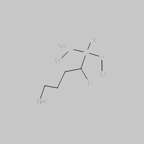 CCCC[Si](OCC)(OCC)C(CC)CCCN.N